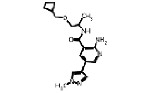 CC(COCC1CCC1)NC(=O)c1cc(-c2cnn(C)c2)cnc1N